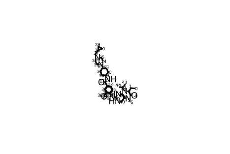 CCC1C(=O)N(C)C2=C(NC(Nc3ccc(C(=O)NC4CCC(N5CCN(CC6CC6)CC5)CC4)cc3OC)NC2)N1C(C)C